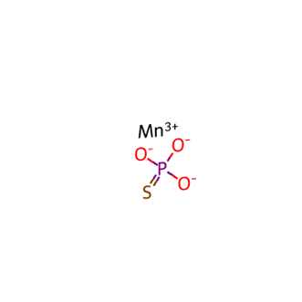 [Mn+3].[O-]P([O-])([O-])=S